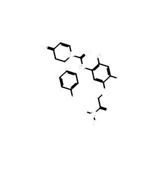 CN(C)C(=O)COc1cc(NC(=O)N2C=CC(=O)C[C@H]2c2ccc(F)cc2)c(Br)cc1Cl